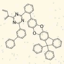 C=CC(=C)c1nc(-c2cccc(-c3ccccc3)c2)nc(-c2ccccc2-c2ccc3c(c2)Oc2cc4c(cc2O3)C(c2ccccc2)(c2ccccc2)c2ccccc2-4)n1